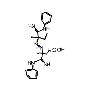 CCC(C)(/N=N/C(C)(CC)C(=N)Nc1ccccc1)C(=N)Nc1ccccc1.Cl.Cl